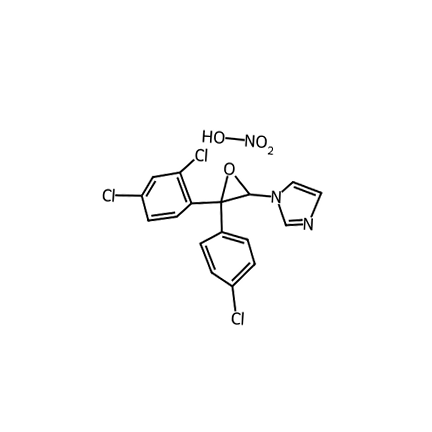 Clc1ccc(C2(c3ccc(Cl)cc3Cl)OC2n2ccnc2)cc1.O=[N+]([O-])O